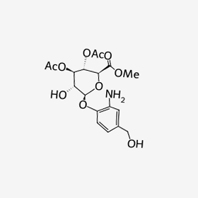 COC(=O)[C@H]1O[C@@H](Oc2ccc(CO)cc2N)[C@H](O)[C@@H](OC(C)=O)[C@@H]1OC(C)=O